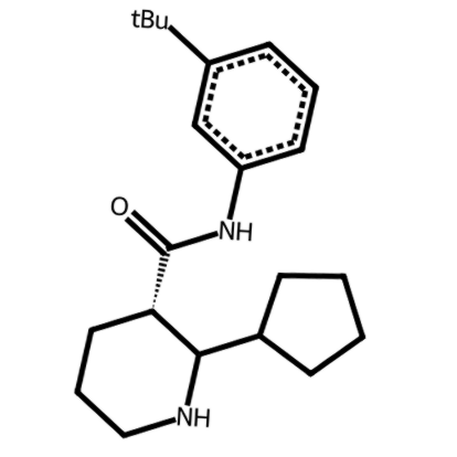 CC(C)(C)c1cccc(NC(=O)[C@H]2CCCNC2C2CCCC2)c1